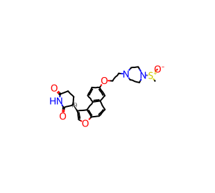 C[S+]([O-])N1CCN(CCOc2ccc3c(ccc4occ([C@@H]5CCC(=O)NC5=O)c43)c2)CC1